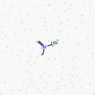 Br.C=[N+](C)C